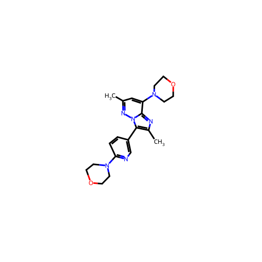 Cc1cc(N2CCOCC2)c2nc(C)c(-c3ccc(N4CCOCC4)nc3)n2n1